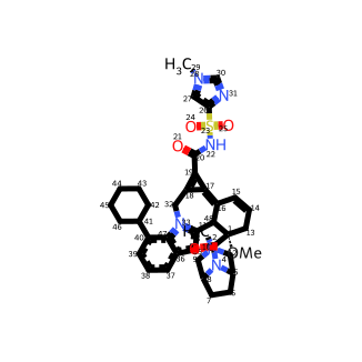 CO[C@@]1(C(=O)N2C3CCC2CN(C)C3)CC=CC2=C3C(=C3C(=O)NS(=O)(=O)c3cn(C)cn3)Cn3c(cc4cccc(C5CCCCC5)c43)C21